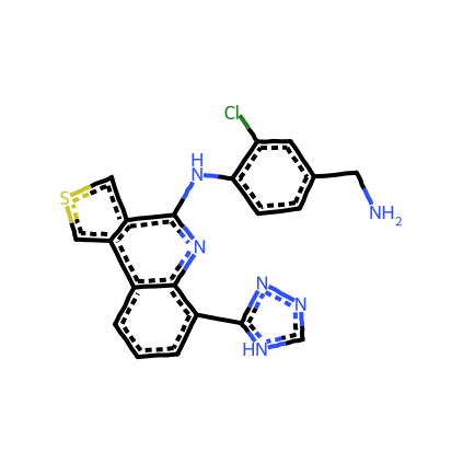 NCc1ccc(Nc2nc3c(-c4nnc[nH]4)cccc3c3cscc23)c(Cl)c1